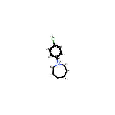 Clc1c[c]c(N2CCCCCC2)cc1